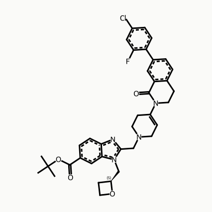 CC(C)(C)OC(=O)c1ccc2nc(CN3CC=C(N4CCc5ccc(-c6ccc(Cl)cc6F)cc5C4=O)CC3)n(C[C@@H]3CCO3)c2c1